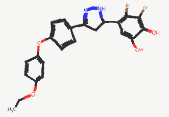 CCOc1ccc(Oc2ccc(C3=NNC(c4cc(O)c(O)c(Br)c4Br)C3)cc2)cc1